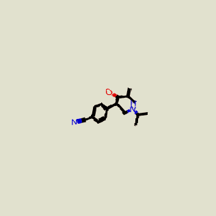 CC(C)NCC(C(=O)C(C)C)c1ccc(C#N)cc1